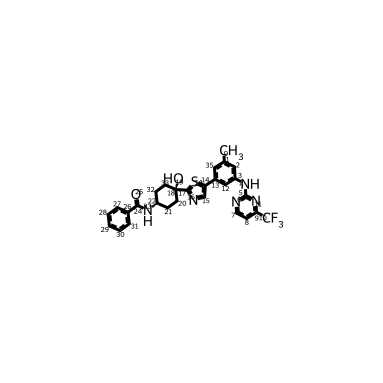 Cc1cc(Nc2nccc(C(F)(F)F)n2)cc(-c2cnc([C@]3(O)CC[C@@H](NC(=O)c4ccccc4)CC3)s2)c1